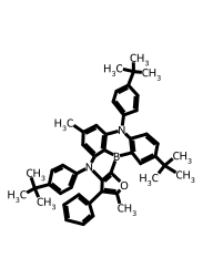 Cc1cc2c3c(c1)N(c1ccc(C(C)(C)C)cc1)c1c(oc(C)c1-c1ccccc1)B3c1cc(C(C)(C)C)ccc1N2c1ccc(C(C)(C)C)cc1